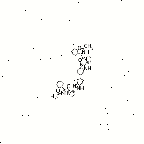 CC(=O)NC(C(=O)N1CCC[C@H]1c1nc2ccc(-c3ccc4[nH]c([C@@H]5CCCN5C(=O)[C@H](NC(C)=O)c5ccccc5)nc4c3)cc2[nH]1)c1ccccc1